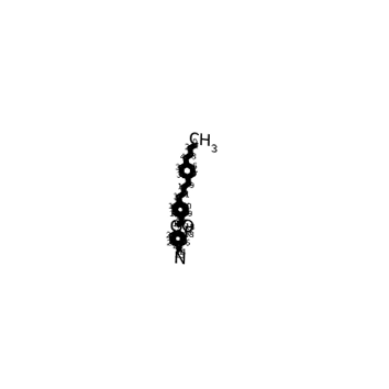 CCCCCC1CCC(CCCCc2ccc(C(=O)Oc3ccc(C#N)cc3F)cc2)CC1